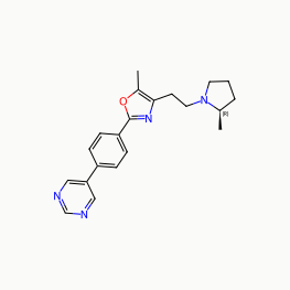 Cc1oc(-c2ccc(-c3cncnc3)cc2)nc1CCN1CCC[C@H]1C